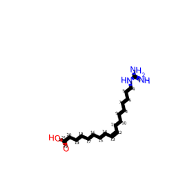 N=C(N)NCCCCCCCC/C=C\CCCCCCCC(=O)O